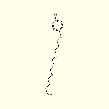 COCCCOCCCOCCCOc1ccc(C(C)C)cc1